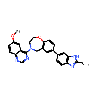 CCOc1ccc2ncnc(N3CCOc4ccc(-c5ccc6nc(C)[nH]c6c5)cc4C3)c2c1